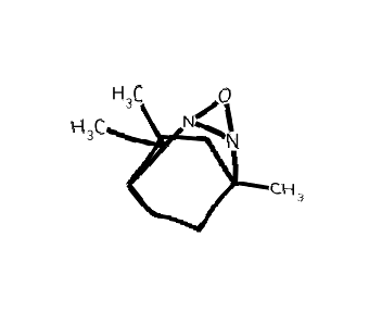 CC12CCC(CC1)C(C)(C)n1on12